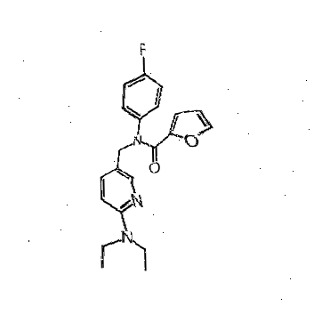 CCN(CC)c1ccc(CN(C(=O)c2ccco2)c2ccc(F)cc2)cn1